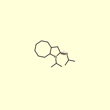 CC(C)/N=C1/CC2CCCCCCC2N1C(C)C